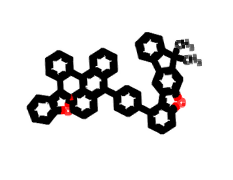 CC1(C)c2ccccc2-c2cc3c(cc21)oc1cccc(-c2ccc(-c4c5ccccc5c(-c5ccccc5-c5coc6ccccc56)c5ccccc45)cc2)c13